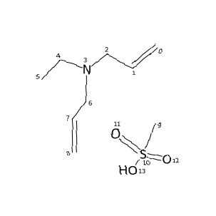 C=CCN(CC)CC=C.CS(=O)(=O)O